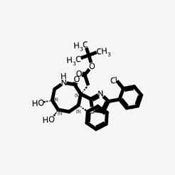 CC(C)(C)OC(=O)C[C@@]1(c2nc(-c3ccccc3Cl)cs2)C(=O)NC[C@@H](O)[C@@H](O)C[C@H]1c1ccccc1